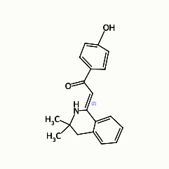 CC1(C)Cc2ccccc2/C(=C/C(=O)c2ccc(O)cc2)N1